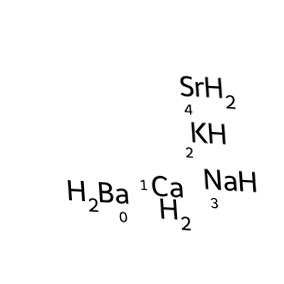 [BaH2].[CaH2].[KH].[NaH].[SrH2]